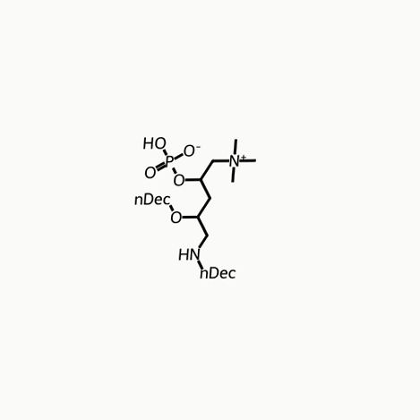 CCCCCCCCCCNCC(CC(C[N+](C)(C)C)OP(=O)([O-])O)OCCCCCCCCCC